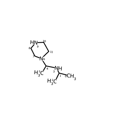 CC(C)NC(C)N1CCNCC1